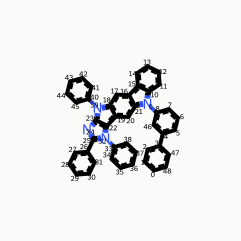 c1ccc(-c2cccc(-n3c4ccccc4c4cc5c(cc43)c3c(nc(-c4ccccc4)n3-c3ccccc3)n5-c3ccccc3)c2)cc1